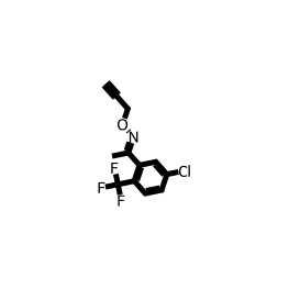 C#CCO/N=C(\C)c1cc(Cl)ccc1C(F)(F)F